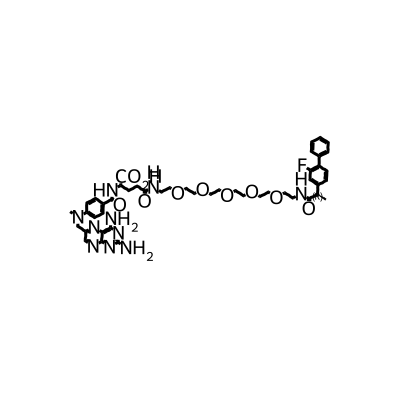 C[C@@H](C(=O)NCCOCCOCCOCCOCCOCCNC(=O)CCC(NC(=O)c1ccc(N(C)Cc2cnc3nc(N)nc(N)c3n2)cc1)C(=O)O)c1ccc(-c2ccccc2)c(F)c1